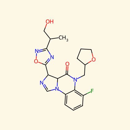 CC(CO)c1noc(C2N=CN3c4cccc(F)c4N(CC4CCCO4)C(=O)C23)n1